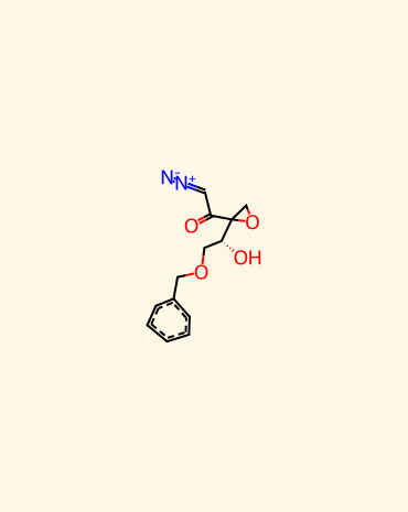 [N-]=[N+]=CC(=O)C1([C@H](O)COCc2ccccc2)CO1